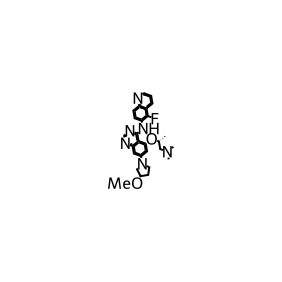 CO[C@@H]1CCN(c2cc(O[C@H](C)CN(C)C)c3c(Nc4ccc5ncccc5c4F)ncnc3c2)C1